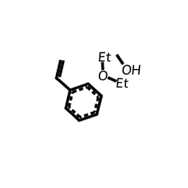 C=Cc1ccccc1.CCOCC.CO